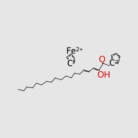 CCCCCCCCCCCCCCC=CC=C(O)C(=O)C[c-]1cccc1.[Fe+2].c1cc[cH-]c1